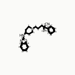 CC(C)C(C#N)(CCCN1CCC(Nc2nc3ccccc3o2)CC1)c1ccccc1